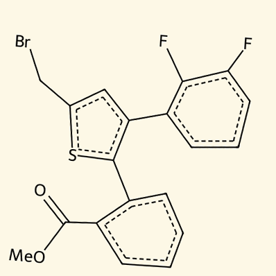 COC(=O)c1ccccc1-c1sc(CBr)cc1-c1cccc(F)c1F